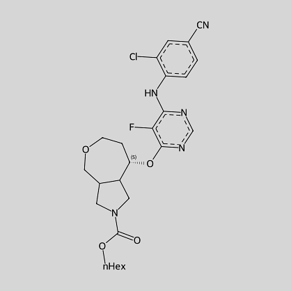 CCCCCCOC(=O)N1CC2COCC[C@H](Oc3ncnc(Nc4ccc(C#N)cc4Cl)c3F)C2C1